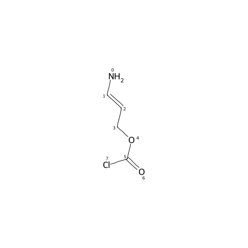 NC=CCOC(=O)Cl